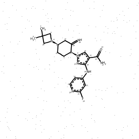 CC1(C)CN([C@@H]2CC[C@H](n3cc(C(N)=O)c(Nc4ccnc(F)c4)n3)C(=N)C2)C1